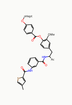 CCCCCCCOc1ccc(C(=O)Oc2ccc(CC(NC(=O)c3cccc(NC(=O)c4cc(C)cs4)c3)C(C)=O)cc2OC)cc1